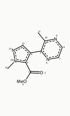 COC(=O)c1c(-c2nccnc2C)cnn1C